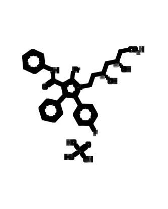 CC(C)c1c(C(=O)Nc2ccccc2)c(-c2ccccc2)c(-c2ccc(F)cc2)n1CC[C@@H](O)C[C@@H](O)CC(=O)O.O=P(O)(O)O